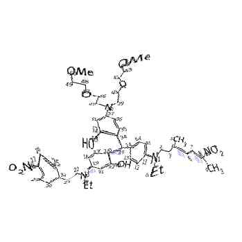 CCN(CC/C(C)=C/C=C(\C)[N+](=O)[O-])c1ccc(/C(=C2C=C/C(=[N+](/CC)CCc3ccc([N+](=O)[O-])cc3)C=C/2O)c2ccc(N(CCOCCOC)CCOCCOC)cc2O)cc1